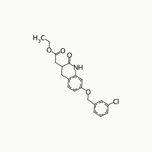 CCOC(=O)CC1Cc2ccc(OCc3cccc(Cl)c3)cc2NC1=O